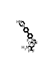 NCC(Cn1ncn(-c2ccc(-c3ccc(N4CCNCC4)cc3)cc2F)c1=O)=C(F)F